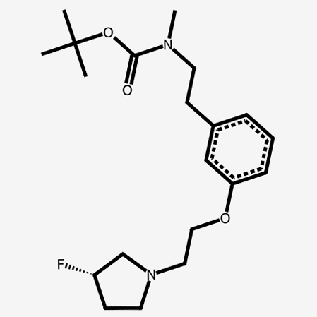 CN(CCc1cccc(OCCN2CC[C@H](F)C2)c1)C(=O)OC(C)(C)C